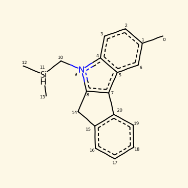 Cc1ccc2c(c1)c1c(n2C[SiH](C)C)Cc2ccccc2-1